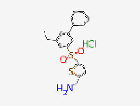 CCc1cc(-c2ccccc2)cc(S(=O)(=O)c2ccc(CN)s2)c1.Cl